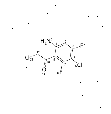 Nc1cc(F)c(Cl)c(F)c1C(=O)CCl